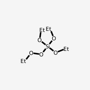 CCOO[Si](OCC)(OCC)OCC